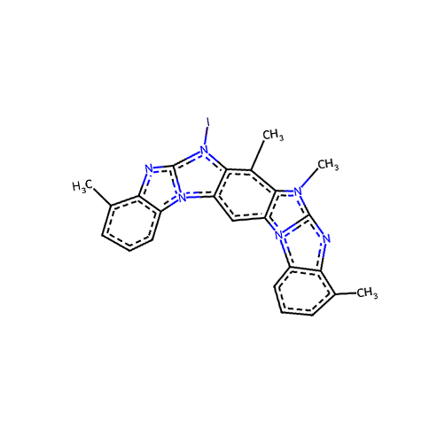 Cc1cccc2c1nc1n(C)c3c(C)c4c(cc3n21)n1c2cccc(C)c2nc1n4I